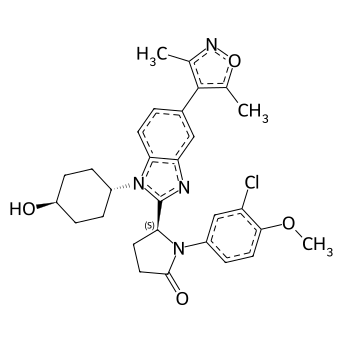 COc1ccc(N2C(=O)CC[C@H]2c2nc3cc(-c4c(C)noc4C)ccc3n2[C@H]2CC[C@H](O)CC2)cc1Cl